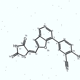 N#Cc1cc(-c2cncc3cc(C=C4SC(=S)NC4=O)oc23)ccc1N